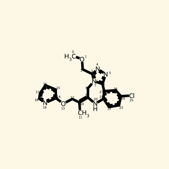 COCc1nnc2n1C/C(=C(/C)COc1ccccn1)Nc1ccc(Cl)cc1-2